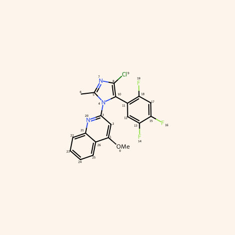 COc1cc(-n2c(C)nc(Cl)c2-c2cc(F)c(F)cc2F)nc2ccccc12